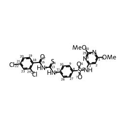 COc1cc(NS(=O)(=O)c2ccc(NC(=S)NC(=O)c3ccc(Cl)cc3Cl)cc2)nc(OC)n1